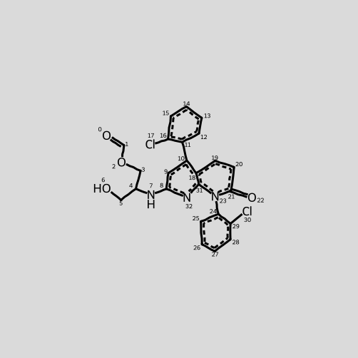 O=COCC(CO)Nc1cc(-c2ccccc2Cl)c2ccc(=O)n(-c3ccccc3Cl)c2n1